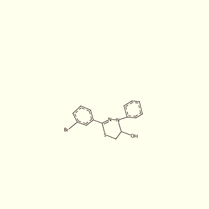 OC1CSC(c2cccc(Br)c2)=NN1c1ccccc1